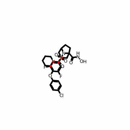 O=C(N1CCCCC1)N1CC2CCC(C(=O)NO)(C1)N2S(=O)(=O)c1cc(F)c(Oc2ccc(Cl)cc2)c(F)c1